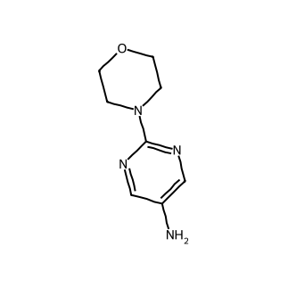 Nc1cnc(N2CCOCC2)nc1